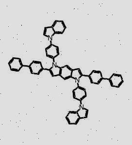 c1ccc(-c2ccc(-c3cc4cc5c(cc(-c6ccc(-c7ccccc7)cc6)n5-c5ccc(-n6ccc7ccccc76)cc5)cc4n3-c3ccc(-n4ccc5ccccc54)cc3)cc2)cc1